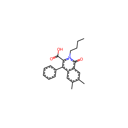 CCCCn1c(C(=O)O)c(-c2ccccc2)c2cc(C)c(C)cc2c1=O